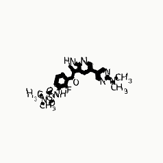 CN(C)c1ncc(-c2cnc3[nH]cc(C(=O)c4cccc(NS(=O)(=O)N(C)C)c4F)c3c2)cn1